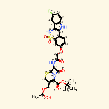 CC(O)OCC1=C(C(=O)OC(C)(C)C)N2C(=O)C(NC(=O)COc3ccc4c(c3)S(=O)(=O)Nc3c-4[nH]c4ccc(F)cc34)C2SC1